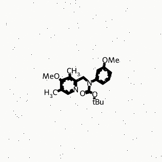 COc1cccc(N(Cc2ncc(C)c(OC)c2C)C(=O)OC(C)(C)C)c1